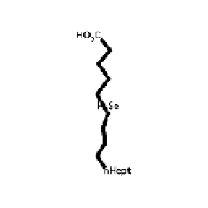 CCCCCCCCCCCCCCCC(=O)O.[SeH2]